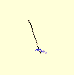 CCCCCCCCCCCCCCCCCCCCCCCNCC(C)N